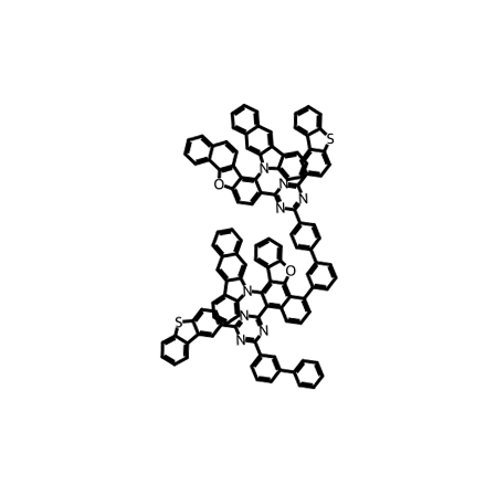 c1ccc(-c2cccc(-c3nc(-c4ccc5sc6ccccc6c5c4)nc(-c4c(-n5c6ccccc6c6cc7ccccc7cc65)c5c6ccccc6oc5c5c(-c6cccc(-c7ccc(-c8nc(-c9ccc%10sc%11ccccc%11c%10c9)nc(-c9ccc%10oc%11c%12ccccc%12ccc%11c%10c9-n9c%10ccccc%10c%10cc%11ccccc%11cc%109)n8)cc7)c6)cccc45)n3)c2)cc1